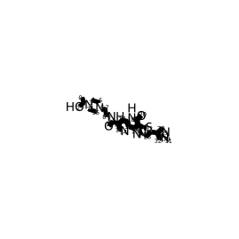 CC(O)N1CCN(CCNC(=O)c2cnc3c(c2)[nH]c(=O)c2c3nn3cc(-c4cnn(C)c4)sc23)CC1